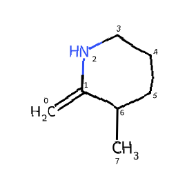 C=C1NCCCC1C